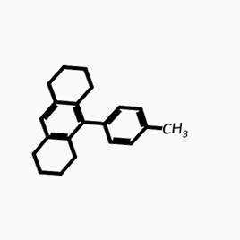 Cc1ccc(-c2c3c(cc4c2CCCC4)CCCC3)cc1